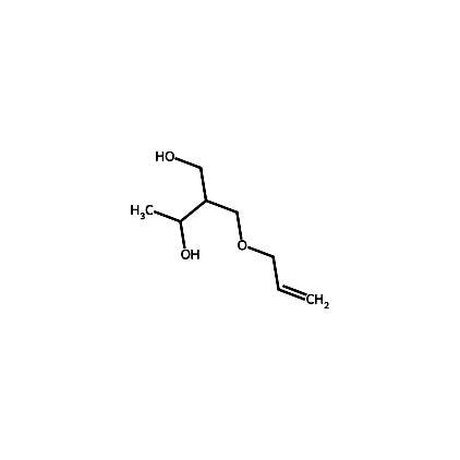 C=CCOCC(CO)C(C)O